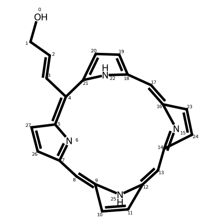 OCC=Cc1c2nc(cc3ccc(cc4nc(cc5ccc1[nH]5)C=C4)[nH]3)C=C2